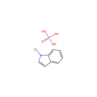 Cln1ccc2ccccc21.O=P(O)(O)O